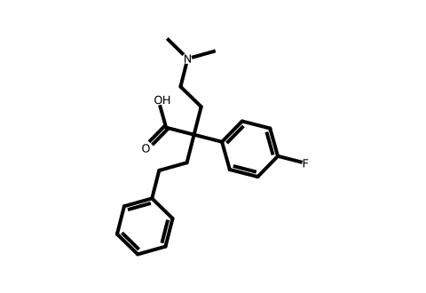 CN(C)CCC(CCc1ccccc1)(C(=O)O)c1ccc(F)cc1